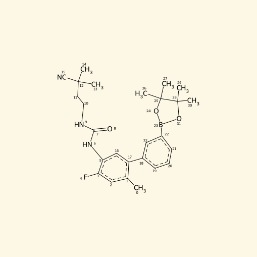 Cc1cc(F)c(NC(=O)NCCC(C)(C)C#N)cc1-c1cccc(B2OC(C)(C)C(C)(C)O2)c1